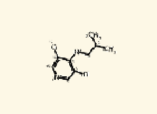 CC(C)C[N]c1c(Cl)cncc1Cl